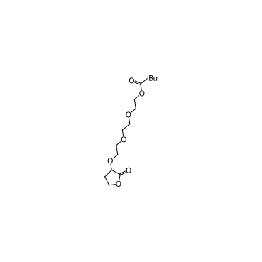 CCC(C)C(=O)OCCOCCOCCOC1CCOC1=O